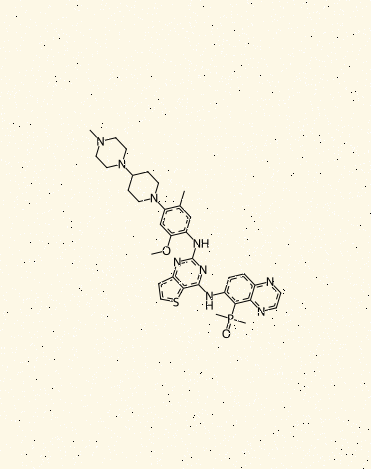 COc1cc(N2CCC(N3CCN(C)CC3)CC2)c(C)cc1Nc1nc(Nc2ccc3nccnc3c2P(C)(C)=O)c2sccc2n1